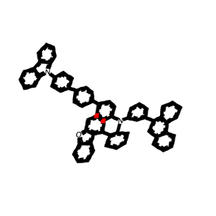 c1cc(-c2cc3ccccc3c3ccccc23)cc(N(c2ccc(-c3ccc(-c4ccc(-n5c6ccccc6c6ccccc65)cc4)cc3)cc2)c2ccccc2-c2cccc3oc4ccccc4c23)c1